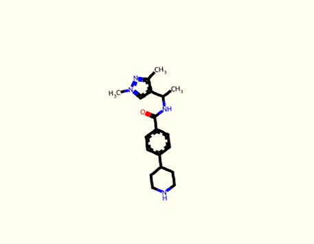 Cc1nn(C)cc1C(C)NC(=O)c1ccc(C2CCNCC2)cc1